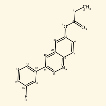 CCC(=O)Oc1ccc2ncc(-c3cccc(F)c3)cc2c1